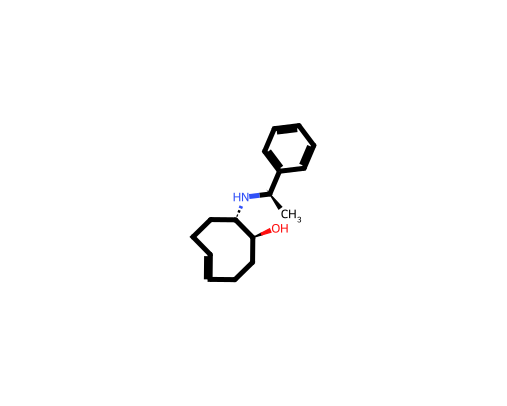 C[C@@H](N[C@H]1CC/C=C/CC[C@@H]1O)c1ccccc1